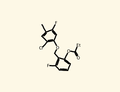 CCC(=O)Oc1cccc(F)c1COc1cc(F)c(C)cc1Cl